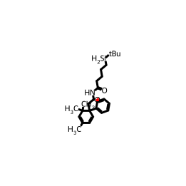 CC1=CC(C)(C)C(CC(=O)NC(=O)CCCC[SiH2]C(C)(C)C)(c2ccccc2)C=C1